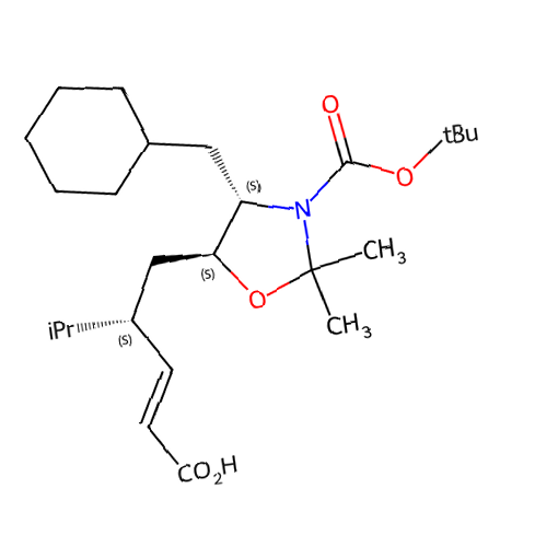 CC(C)[C@@H](C=CC(=O)O)C[C@@H]1OC(C)(C)N(C(=O)OC(C)(C)C)[C@H]1CC1CCCCC1